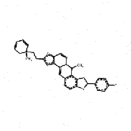 CC1c2c(ccc3c2CC(c2ccc(F)cc2)S3)C=C2c3cc(CCC4(C)C=CC=CC4)sc3C=CC21